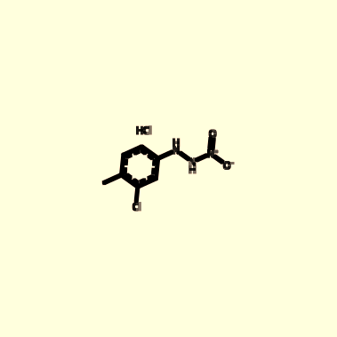 Cc1ccc(NN[N+](=O)[O-])cc1Cl.Cl